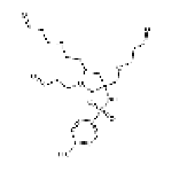 Cc1ccc(S(=O)(=O)NC(COCCC=O)(COCCC=O)COCCOCCC=O)cc1